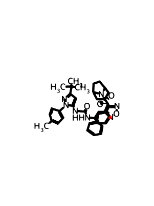 Cc1ccc(-n2nc(C(C)(C)C)cc2NC(=O)Nc2cccc(CC3CC4CCC(C3)N4S(=O)(=O)c3nonc3Cc3ccccc3)c2)cc1